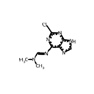 CN(C)/C=N/c1nc(Cl)nc2[nH]cnc12